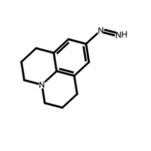 N=Nc1cc2c3c(c1)CCCN3CCC2